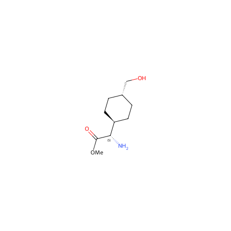 COC(=O)[C@@H](N)[C@H]1CC[C@H](CO)CC1